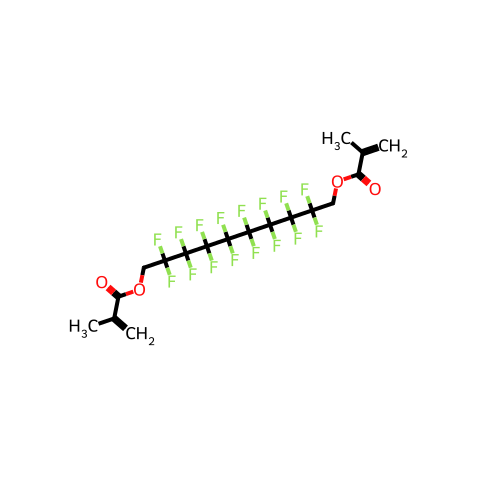 C=C(C)C(=O)OCC(F)(F)C(F)(F)C(F)(F)C(F)(F)C(F)(F)C(F)(F)C(F)(F)C(F)(F)COC(=O)C(=C)C